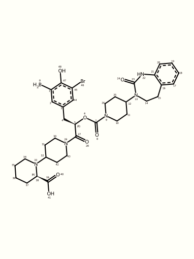 Bc1cc(C[C@@H](OC(=O)N2CCC(N3CCc4ccccc4NC3=O)CC2)C(=O)N2CCC(N3CCCC[C@@H]3C(=O)O)CC2)cc(Br)c1O